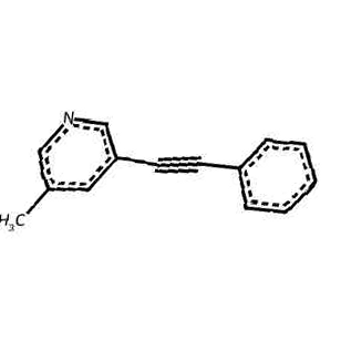 Cc1cncc(C#Cc2ccccc2)c1